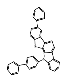 c1ccc(-c2ccc(-n3c4ccccc4c4ccc5c6cc(-c7ccccc7)ccc6sc5c43)cc2)cc1